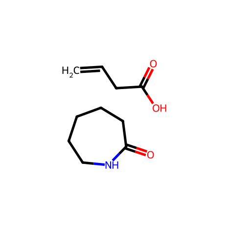 C=CCC(=O)O.O=C1CCCCCN1